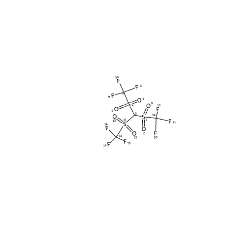 O=S(=O)(C(S(=O)(=O)C(F)(F)F)S(=O)(=O)C(F)(F)F)C(F)(F)F